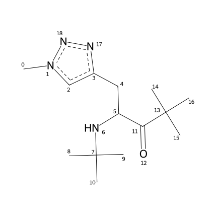 Cn1cc(CC(NC(C)(C)C)C(=O)C(C)(C)C)nn1